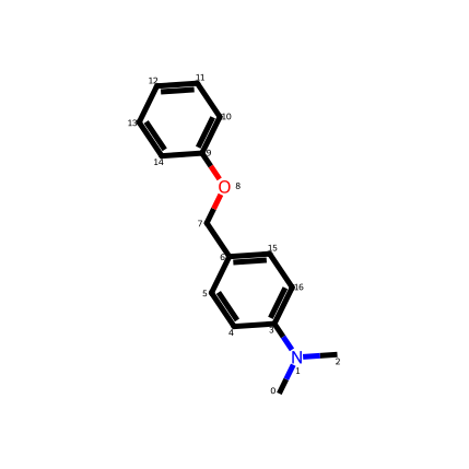 CN(C)c1ccc(COc2ccccc2)cc1